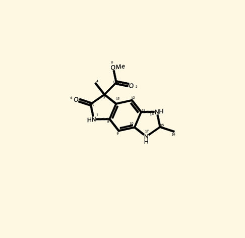 COC(=O)C1(C)C(=O)Nc2cc3c(cc21)NC(C)N3